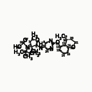 CC[C@](C)(C(=O)Nc1cnc(Oc2cccc3c2C(C)CCO3)nc1)N(C(=O)O)C(C)(C)C